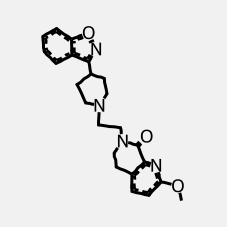 COc1ccc2c(n1)C(=O)N(CCN1CCC(c3noc4ccccc34)CC1)CC2